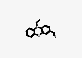 CCN1c2ccccc2Oc2cc(C=O)ccc21